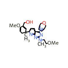 COCCN(C)c1nc(N2C3CCC2COC3)c2ccc(C3(C)C=C(CO)C(OC)=CC3)nc2n1